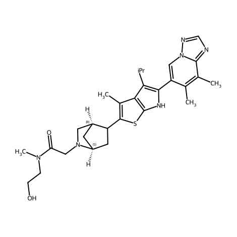 Cc1c(-c2[nH]c3sc(C4C[C@@H]5C[C@H]4CN5CC(=O)N(C)CCO)c(C)c3c2C(C)C)cn2ncnc2c1C